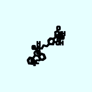 O=C1CN(c2ccc(CCCNS(=O)(=O)CC(c3ccccc3)c3ccccc3C(F)(F)F)cc2O)S(=O)(=O)N1